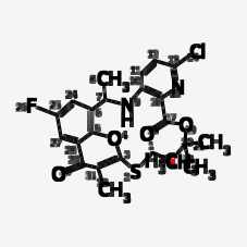 CCSc1oc2c(C(C)Nc3ccc(Cl)nc3C(=O)OC(C)(C)C)cc(F)cc2c(=O)c1C